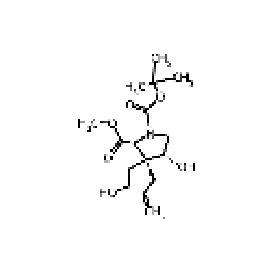 C=CC[C@]1(CCO)[C@@H](O)CN(C(=O)OC(C)(C)C)[C@@H]1C(=O)OC